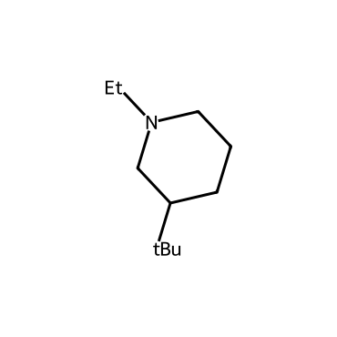 CCN1CCCC(C(C)(C)C)C1